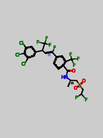 C[C@H](CS(=O)(=O)CC(F)F)NC(=O)c1ccc(/C(F)=C/C(c2cc(Cl)c(Cl)c(Cl)c2)C(F)(F)F)cc1C(F)(F)F